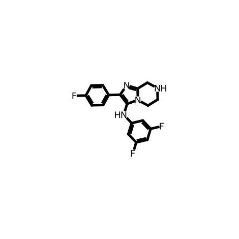 Fc1ccc(-c2nc3n(c2Nc2cc(F)cc(F)c2)CCNC3)cc1